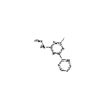 CCCCCCNc1nc(C)nc(-c2ccccn2)n1